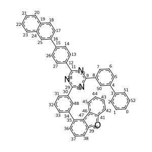 c1ccc(-c2cccc(-c3nc(-c4ccc(-c5ccc6ccccc6c5)cc4)nc(-c4cccc(-c5cccc6oc7ccccc7c56)c4)n3)c2)cc1